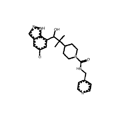 CC(C)(C1CCN(C(=O)NCc2ccncc2)CC1)C(O)c1cc(Cl)cc2cn[nH]c12